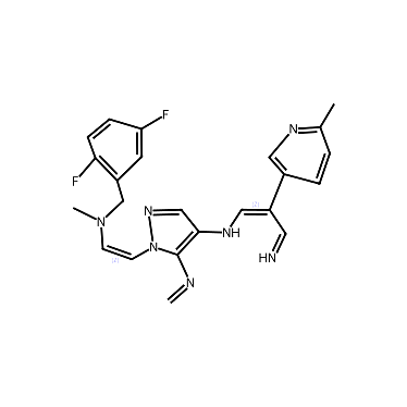 C=Nc1c(N/C=C(\C=N)c2ccc(C)nc2)cnn1/C=C\N(C)Cc1cc(F)ccc1F